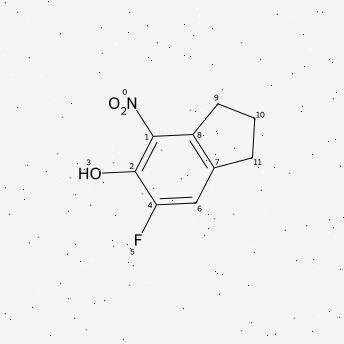 O=[N+]([O-])c1c(O)c(F)cc2c1CCC2